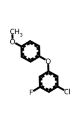 COc1ccc(Oc2cc(F)cc(Cl)c2)cc1